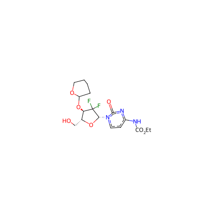 CCOC(=O)Nc1ccn([C@@H]2O[C@H](CO)[C@@H](OC3CCCCO3)C2(F)F)c(=O)n1